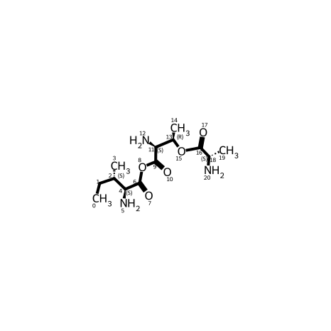 CC[C@H](C)[C@H](N)C(=O)OC(=O)[C@@H](N)[C@@H](C)OC(=O)[C@H](C)N